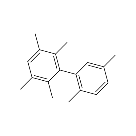 Cc1ccc(C)c(-c2c(C)c(C)cc(C)c2C)c1